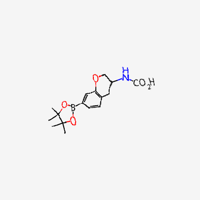 CC1(C)OB(c2ccc3c(c2)OCC(NC(=O)O)C3)OC1(C)C